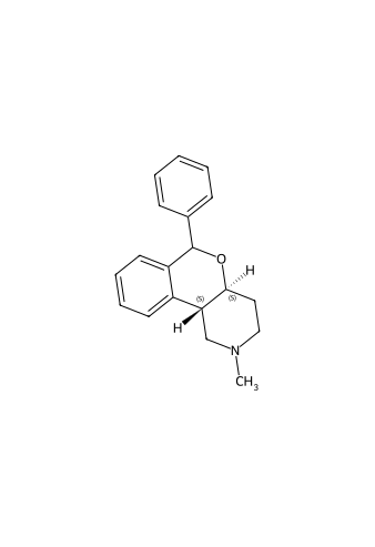 CN1CC[C@@H]2OC(c3ccccc3)c3ccccc3[C@H]2C1